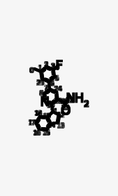 Cc1cc(F)cc(-c2cnc(C3C=Cc4ccccc43)c(C(N)=O)c2)c1